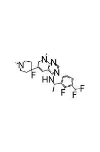 C[C@@H](Nc1ncnc2c1C=C(C1(F)CCN(C)CC1)CN2C)c1cccc(C(F)F)c1F